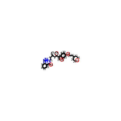 O=C(CC(CCn1nnc2ccccc2c1=O)C(=O)O)c1coc2cc(OCCC3CCOCC3)ccc12